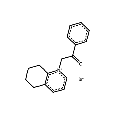 O=C(C[n+]1cccc2c1CCCC2)c1ccccc1.[Br-]